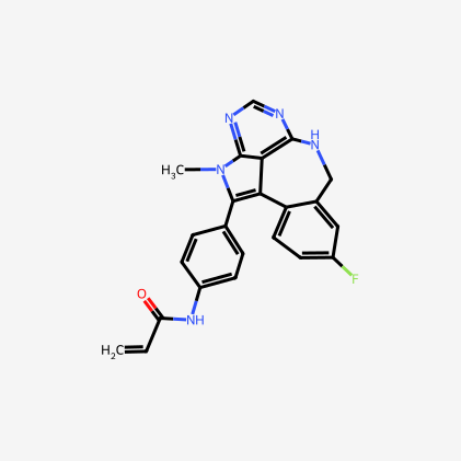 C=CC(=O)Nc1ccc(-c2c3c4c(ncnc4n2C)NCc2cc(F)ccc2-3)cc1